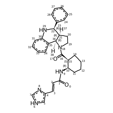 O=C(C=Cc1c[nH]cn1)N[C@@H]1CCCC[C@@H]1C(=O)N1CC[C@@H]2[C@H](c3ccccc3)Nc3ccccc3[C@@H]21